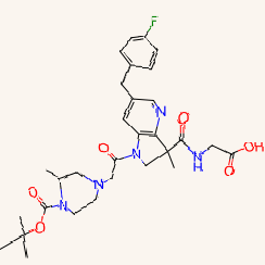 CC1CN(CC(=O)N2CC(C)(C(=O)NCC(=O)O)c3ncc(Cc4ccc(F)cc4)cc32)CCN1C(=O)OC(C)(C)C